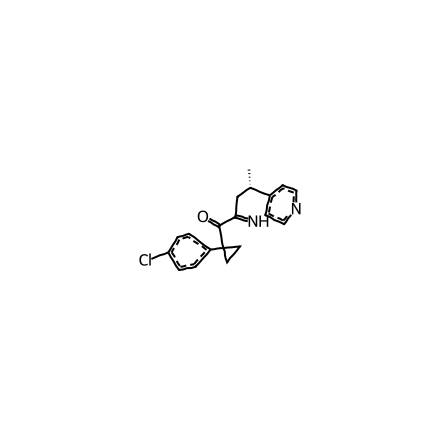 C[C@@H](CC(=N)C(=O)C1(c2ccc(Cl)cc2)CC1)c1ccncc1